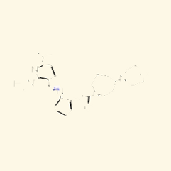 Nc1ccc(/N=N/c2ccccc2OC(=O)N2CCCC(N3CCOCC3)CC2)c(N)n1